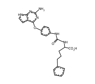 Nc1nc(Oc2ccc(NC(=O)NC(CCCc3ccccc3)C(=O)O)cc2)c2cc[nH]c2n1